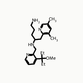 CCC(CC)(OC)c1cccnc1CNC(CCCN)Cc1ncc(C)cc1C